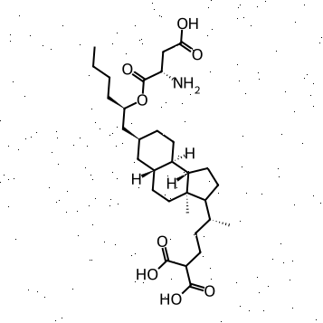 CCCC[C@H](C[C@H]1CC[C@@H]2[C@H](CC[C@]3(C)C([C@H](C)CCC(C(=O)O)C(=O)O)CC[C@@H]23)C1)OC(=O)[C@@H](N)CC(=O)O